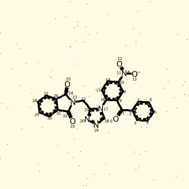 O=C(c1ccccc1)c1cc([N+](=O)[O-])ccc1-n1cnnc1CN1C(=O)c2ccccc2C1=O